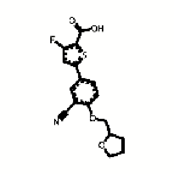 N#Cc1cc(-c2cc(F)c(C(=O)O)s2)ccc1OCC1CCCO1